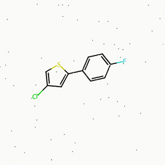 Fc1ccc(-c2cc(Cl)cs2)cc1